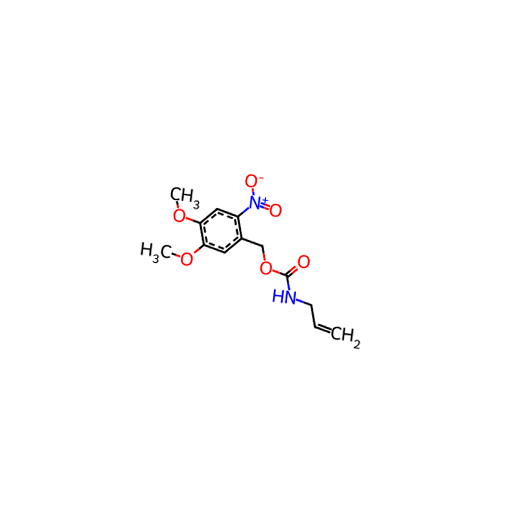 C=CCNC(=O)OCc1cc(OC)c(OC)cc1[N+](=O)[O-]